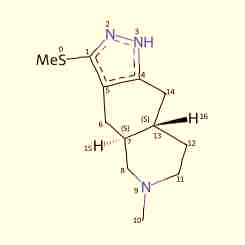 CSc1n[nH]c2c1C[C@@H]1CN(C)CC[C@H]1C2